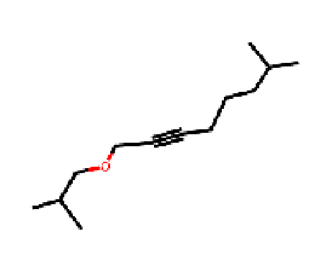 CC(C)CCCC#CCOCC(C)C